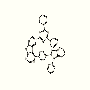 c1ccc(-c2nc(-c3ccccc3)nc(-c3ccc4oc5ncnc(-c6ccc(-c7nc8ccccc8n7-c7ccccc7)cc6)c5c4c3)n2)cc1